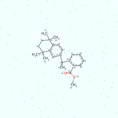 C=C(c1ccc2c(c1)C(C)(C)CCC2(C)C)c1ccccc1C(=O)OC